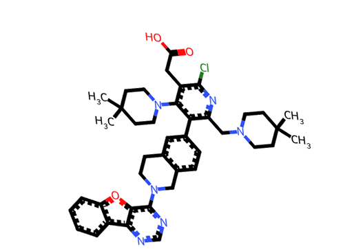 CC1(C)CCN(Cc2nc(Cl)c(CC(=O)O)c(N3CCC(C)(C)CC3)c2-c2ccc3c(c2)CCN(c2ncnc4c2oc2ccccc24)C3)CC1